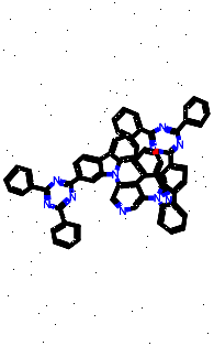 N#Cc1ccccc1-c1c(-n2c3ccccc3c3ccc(-c4nc(-c5ccccc5)nc(-c5ccccc5)n4)cc32)cncc1-n1c2ccccc2c2ccc(-c3nc(-c4ccccc4)nc(-c4ccccc4)n3)cc21